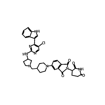 O=C1CCC(N2C(=O)c3ccc(N4CCC(CN5CCC(Nc6ncc(Cl)c(-c7c[nH]c8ccccc78)n6)C5)CC4)cc3C2=O)C(=O)N1